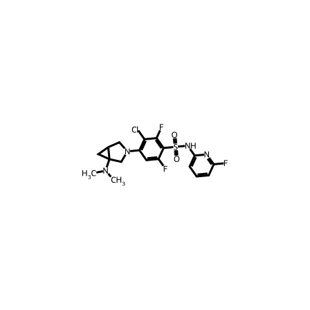 CN(C)C12CC1CN(c1cc(F)c(S(=O)(=O)Nc3cccc(F)n3)c(F)c1Cl)C2